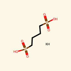 O=S(=O)(O)CCCCS(=O)(=O)O.[KH]